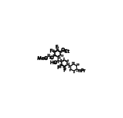 CCCC1CCC(c2ccc(C(O)c3cc(OCC)c(F)c(F)c3OCOC)c(F)c2F)CC1